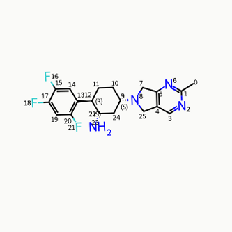 Cc1ncc2c(n1)CN([C@H]1CC[C@H](c3cc(F)c(F)cc3F)[C@@H](N)C1)C2